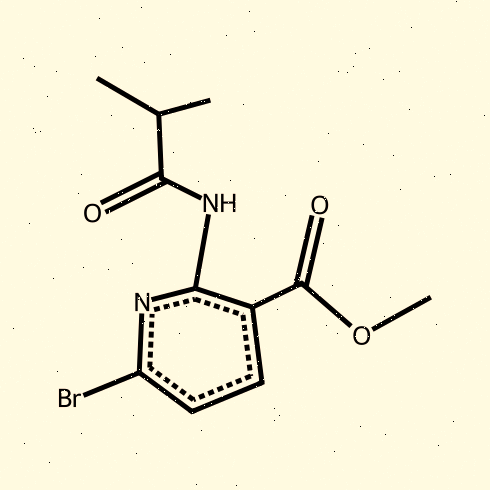 COC(=O)c1ccc(Br)nc1NC(=O)C(C)C